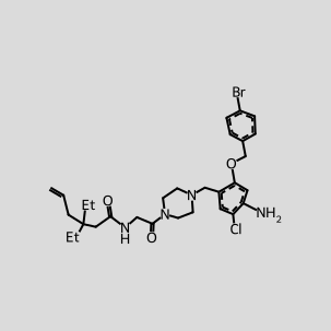 C=CCC(CC)(CC)CC(=O)NCC(=O)N1CCN(Cc2cc(Cl)c(N)cc2OCc2ccc(Br)cc2)CC1